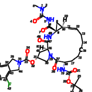 CN(C)C(=O)NC(=O)[C@@]12C[C@H]1/C=C\CCCCC[C@H](NC(=O)OC(C)(C)C)C(=O)N1C[C@H](OC(=O)N3Cc4cccc(F)c4C3)C[C@H]1C(=O)N2